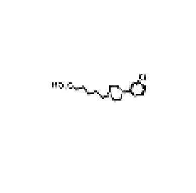 O=C(O)CCCCCN1CCN(c2cccc(Cl)c2)CC1